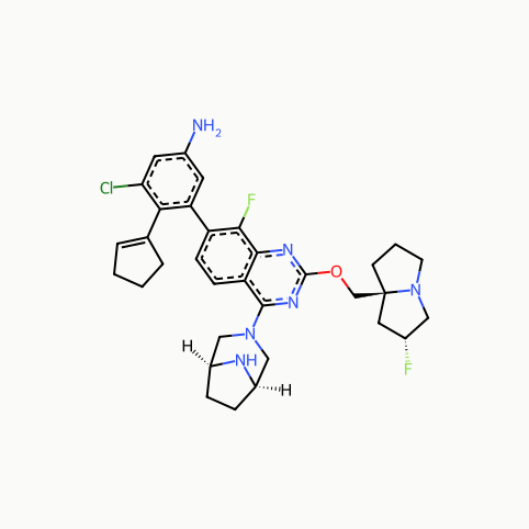 Nc1cc(Cl)c(C2=CCCC2)c(-c2ccc3c(N4C[C@H]5CC[C@@H](C4)N5)nc(OC[C@@]45CCCN4C[C@H](F)C5)nc3c2F)c1